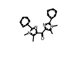 Cc1c(C(=O)c2nc(-c3ccccc3)n(C)c2C)nc(-c2ccccc2)n1C